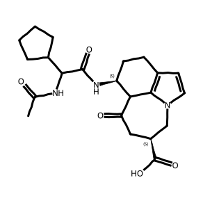 CC(=O)NC(C(=O)N[C@H]1CCc2ccn3c2C1C(=O)C[C@H](C(=O)O)C3)C1CCCC1